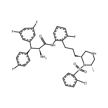 C[C@H]1CNC[C@H](CCCc2c(F)cccc2NC(=O)[C@@H](N)[C@@H](c2ccc(F)cc2)c2cc(F)cc(F)c2)N1S(=O)(=O)c1ccccc1Cl